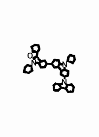 c1ccc(-n2c3ccc(-c4ccc5c(c4)c4c6ccccc6oc4n5-c4ccccc4)cc3c3cc(-n4c5ccccc5c5ccccc54)ccc32)cc1